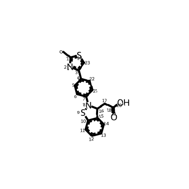 Cc1nc(-c2ccc(N3Sc4ccccc4C3CC(=O)O)cc2)cs1